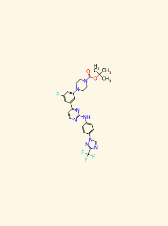 CC(C)(C)OC(=O)N1CCN(c2cc(F)cc(-c3ccnc(Nc4ccc(-n5cnc(C(F)(F)F)n5)cc4)n3)c2)CC1